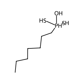 CCCCCCC[PH](O)(S)S